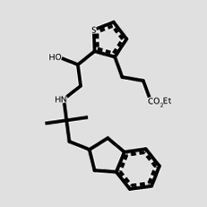 CCOC(=O)CCc1ccsc1C(O)CNC(C)(C)CC1Cc2ccccc2C1